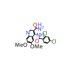 COc1cc2ncc(C(N)=O)c(NC(=O)c3ccc(Cl)cc3Cl)c2cc1OC